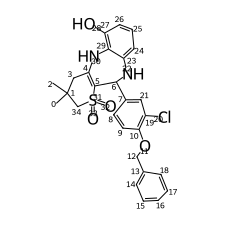 CC1(C)CC2=C(C(c3ccc(OCc4ccccc4)c(Cl)c3)Nc3cccc(O)c3N2)S(=O)(=O)C1